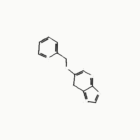 C1=NC2=NC=C(NCc3ccccn3)CC2=N1